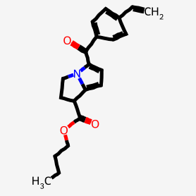 C=Cc1ccc(C(=O)c2ccc3n2CCC3C(=O)OCCCC)cc1